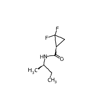 CC[C@@H](C)NC(=O)[C@@H]1CC1(F)F